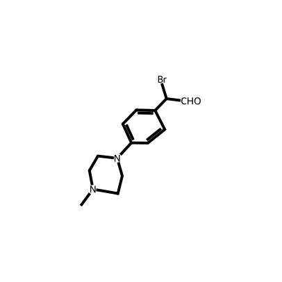 CN1CCN(c2ccc(C(Br)C=O)cc2)CC1